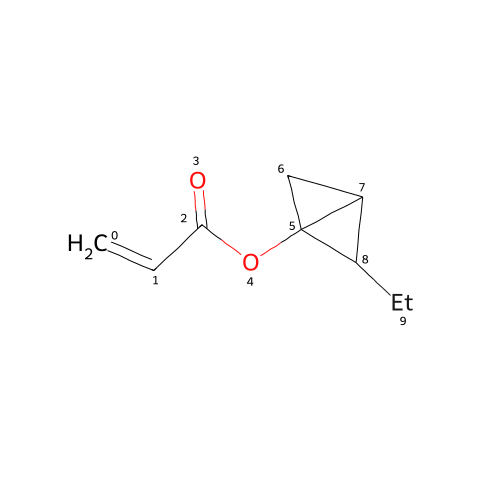 C=CC(=O)OC12CC1C2CC